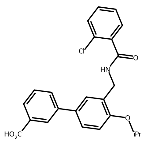 CC(C)Oc1ccc(-c2cccc(C(=O)O)c2)cc1CNC(=O)c1ccccc1Cl